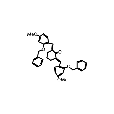 COc1ccc(/C=C2\CCC/C(=C\c3ccc(OC)cc3OCc3ccccc3)C2=O)c(OCc2ccccc2)c1